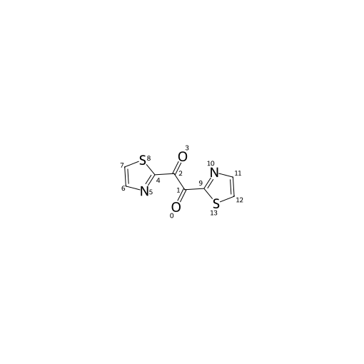 O=C(C(=O)c1nccs1)c1nccs1